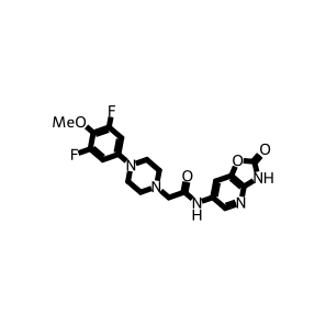 COc1c(F)cc(N2CCN(CC(=O)Nc3cnc4[nH]c(=O)oc4c3)CC2)cc1F